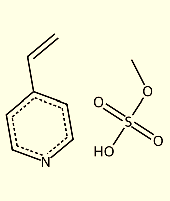 C=Cc1ccncc1.COS(=O)(=O)O